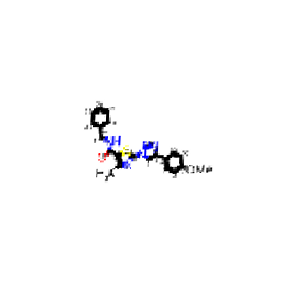 COc1ccc(-c2cn(-c3nc(C)c(C(=O)NCc4ccccc4)s3)nn2)cc1